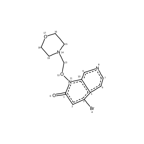 O=c1cc(Br)c2ccncc2n1OCN1CCOCC1